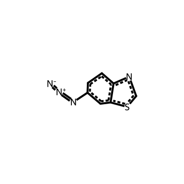 [N-]=[N+]=Nc1ccc2ncsc2c1